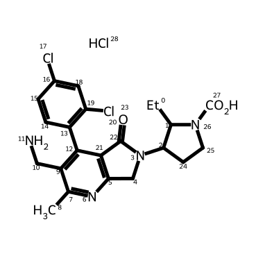 CCC1C(N2Cc3nc(C)c(CN)c(-c4ccc(Cl)cc4Cl)c3C2=O)CCN1C(=O)O.Cl